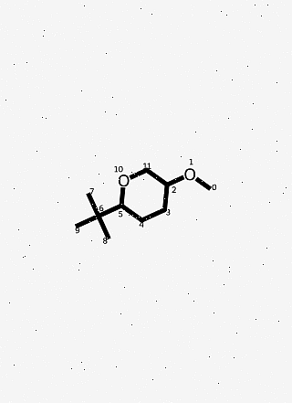 COC1CCC(C(C)(C)C)OC1